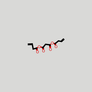 C=CCC(=O)OC(=O)CC(=O)OC(=O)CC=C